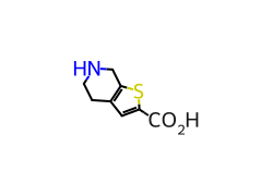 O=C(O)c1cc2c(s1)CNCC2